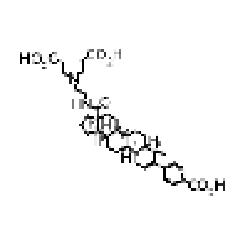 CC1(C)C(c2ccc(C(=O)O)cc2)=CC[C@]2(C)[C@H]3CC[C@@H]4[C@H]5CCC[C@]5(C(=O)NCCN(CCC(=O)O)CCC(=O)O)CC[C@@]4(C)[C@]3(C)CC[C@@H]12